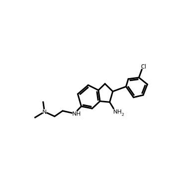 CN(C)CCNc1ccc2c(c1)C(N)C(c1cccc(Cl)c1)C2